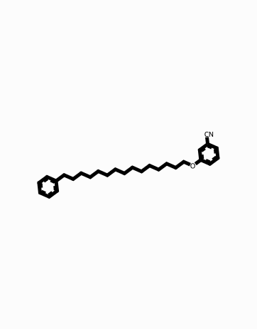 N#Cc1cccc(OCCCCCCCCCCCCCCCc2ccccc2)c1